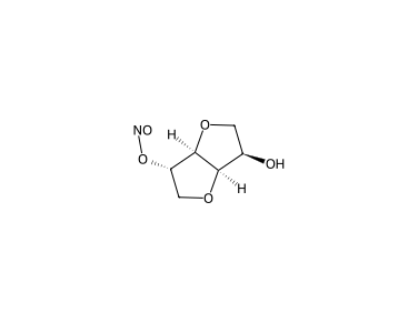 O=NO[C@H]1CO[C@H]2[C@@H]1OC[C@H]2O